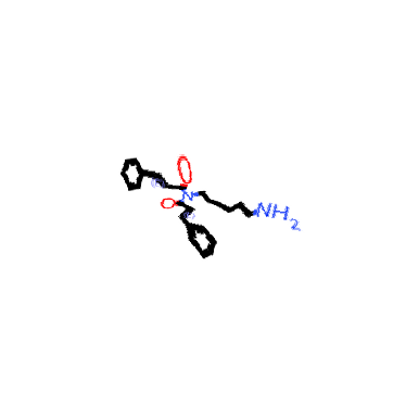 NCCCCCCN(C(=O)/C=C/c1ccccc1)C(=O)/C=C/c1ccccc1